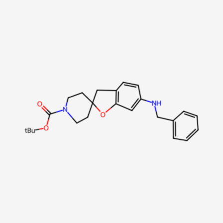 CC(C)(C)OC(=O)N1CCC2(CC1)Cc1ccc(NCc3ccccc3)cc1O2